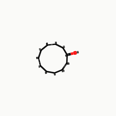 O=C1CCCCCCCCCC1